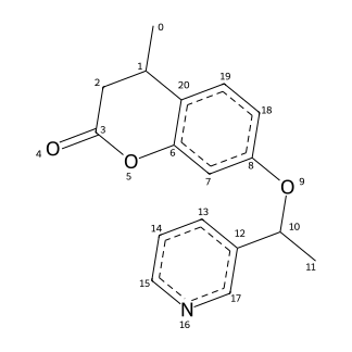 CC1CC(=O)Oc2cc(OC(C)c3cccnc3)ccc21